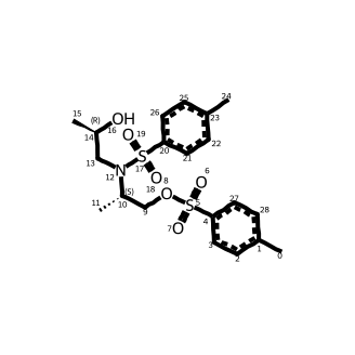 Cc1ccc(S(=O)(=O)OC[C@H](C)N(C[C@@H](C)O)S(=O)(=O)c2ccc(C)cc2)cc1